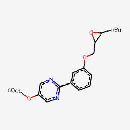 CCCCCCCCOc1cnc(-c2cccc(OCC3OC3CCCC)c2)nc1